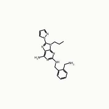 CCCn1c(-n2cccn2)nc2c(N)nc(NCc3ccccc3CN)nc21